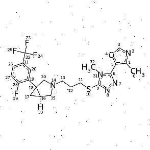 Cc1ncoc1-c1nnc(SCCCN2C[C@H]3CC3(c3cc(C(F)(F)F)ccc3F)C2)n1C